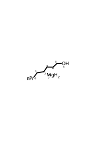 CCCCCCCCO.[MgH2]